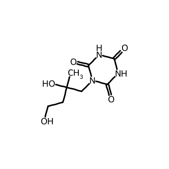 CC(O)(CCO)Cn1c(=O)[nH]c(=O)[nH]c1=O